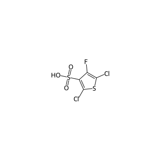 O=S(=O)(O)c1c(Cl)sc(Cl)c1F